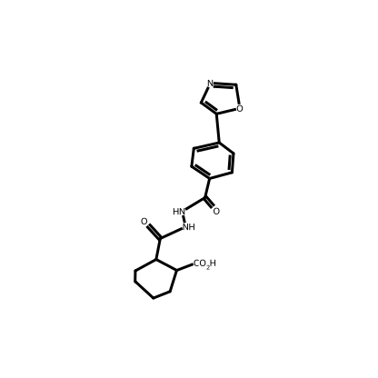 O=C(NNC(=O)C1CCCCC1C(=O)O)c1ccc(-c2cnco2)cc1